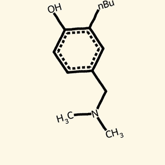 CCCCc1cc(CN(C)C)ccc1O